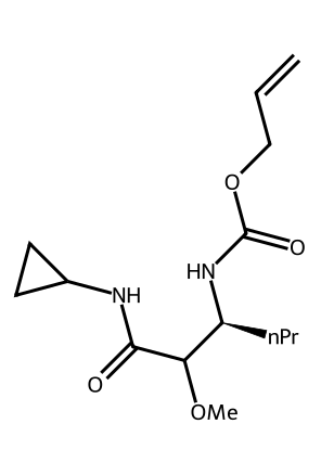 C=CCOC(=O)N[C@@H](CCC)C(OC)C(=O)NC1CC1